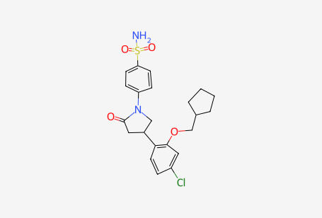 NS(=O)(=O)c1ccc(N2CC(c3ccc(Cl)cc3OCC3CCCC3)CC2=O)cc1